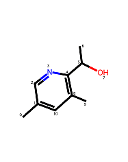 Cc1cnc(C(C)O)c(C)c1